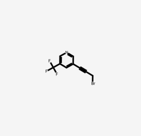 FC(F)(F)c1cncc(C#CCBr)c1